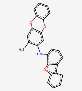 Bc1cc2c(cc1Nc1cccc3c1oc1ccccc13)Oc1ccccc1O2